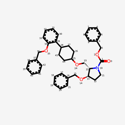 O=C(OCc1ccccc1)N1CC[C@@H](OCc2ccccc2)[C@@H]1COC1CCC(c2ccccc2OCc2ccccc2)CC1